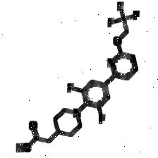 O=C(O)CC1CCN(c2c(F)cc(-c3cccc(OCC(F)(F)F)n3)cc2F)CC1